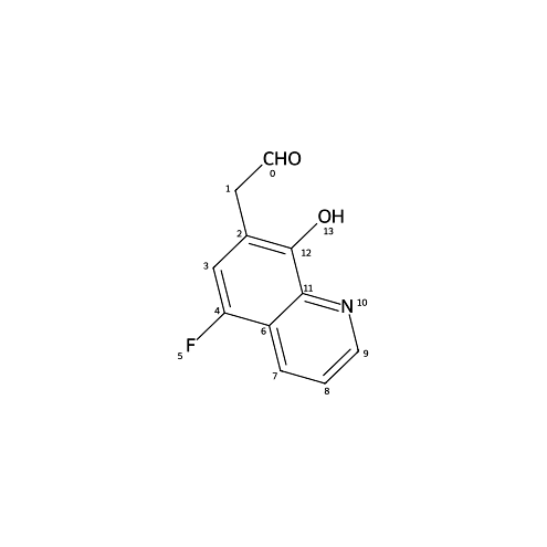 O=CCc1cc(F)c2cccnc2c1O